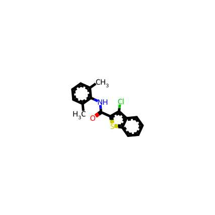 Cc1cccc(C)c1NC(=O)c1sc2ccccc2c1Cl